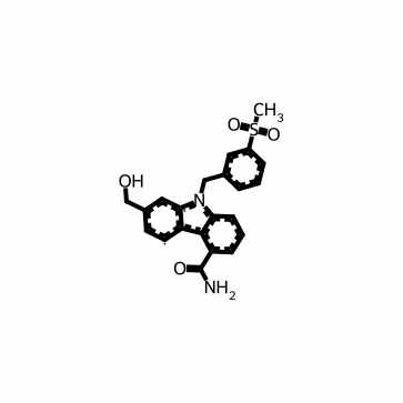 CS(=O)(=O)c1cccc(Cn2c3cc(CO)c[c]c3c3c(C(N)=O)cccc32)c1